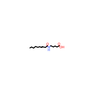 CCCCCCC=CCC(=O)NCCCCC(=O)O